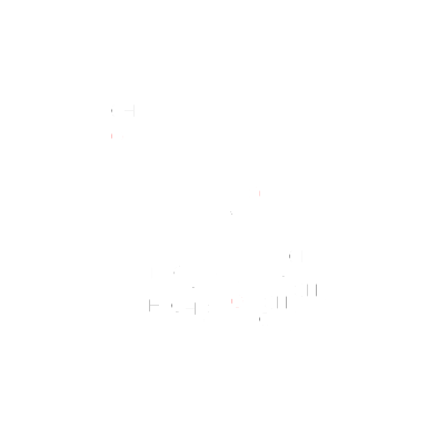 COc1ccc(C=CC(=O)c2cc(C(C)(C)C)c(OC)c(C(C)(C)C)c2)cc1